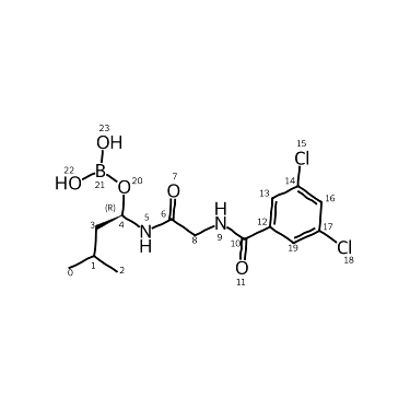 CC(C)C[C@H](NC(=O)CNC(=O)c1cc(Cl)cc(Cl)c1)OB(O)O